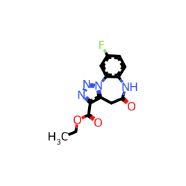 CCOC(=O)c1nnn2c1CC(=O)Nc1ccc(F)cc1-2